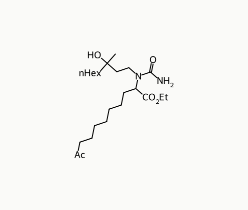 CCCCCCC(C)(O)CCN(C(N)=O)C(CCCCCCCC(C)=O)C(=O)OCC